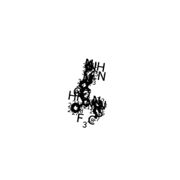 Cc1c(S(=O)(=O)NC2CN(c3ncnc4sc(CC(F)(F)F)cc34)CC2c2ccccc2)ccc2c1cc(C#N)n2Cc1cn[nH]c1